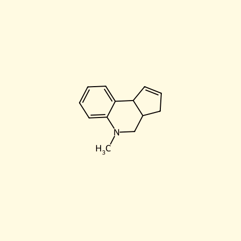 CN1CC2CC=CC2c2ccccc21